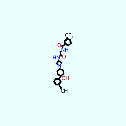 C#Cc1cccc([C@]2(O)CC[C@H](N3CC(NC(=O)CNC(=O)c4cccc(C(F)(F)F)c4)C3)CC2)c1